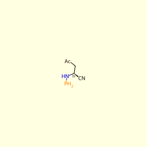 CC(=O)C[C@@H](C#N)NP